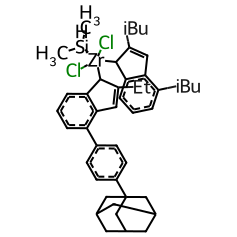 CCC1=Cc2c(-c3ccc(C45CC6CC(CC(C6)C4)C5)cc3)cccc2[CH]1[Zr]([Cl])([Cl])([CH]1C(C(C)CC)=Cc2c(C(C)CC)cccc21)[SiH](C)C